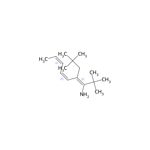 C\C=C/C=C\C(CC(C)(C)C)=C(/N)C(C)(C)C